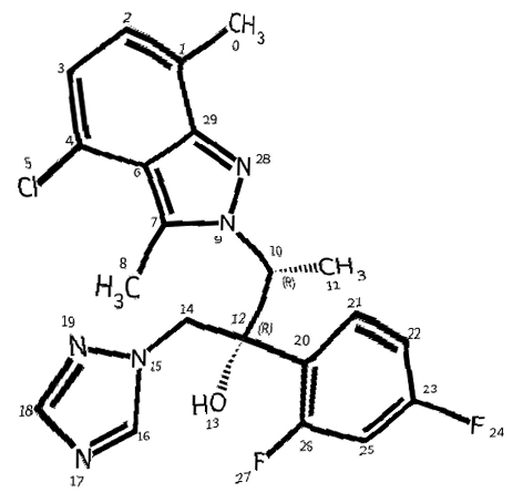 Cc1ccc(Cl)c2c(C)n([C@H](C)[C@](O)(Cn3cncn3)c3ccc(F)cc3F)nc12